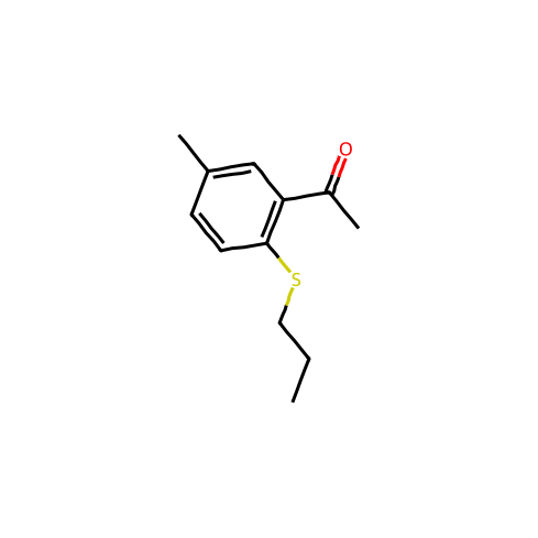 CCCSc1ccc(C)cc1C(C)=O